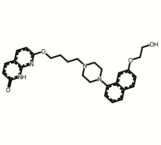 O=c1ccc2ccc(OCCCCN3CCN(c4cccc5ccc(OCCO)cc45)CC3)nc2[nH]1